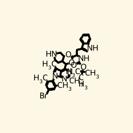 Cc1nc(C(OC(=O)C(Cc2c[nH]c3ccccc23)NC(=O)OC(C)(C)C)C2CCNCC2)c2c(C)cn(-c3c(C)cc(Br)cc3C)c2n1